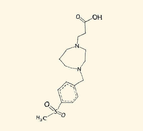 CS(=O)(=O)c1ccc(CN2CCCN(CCC(=O)O)CC2)cc1